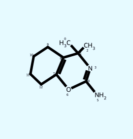 CC1(C)N=C(N)OC2=C1CCCC2